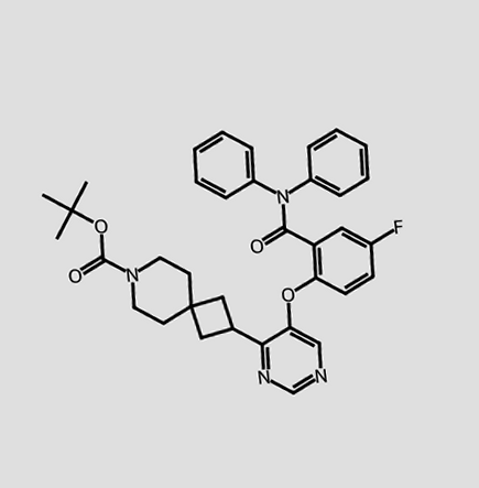 CC(C)(C)OC(=O)N1CCC2(CC1)CC(c1ncncc1Oc1ccc(F)cc1C(=O)N(c1ccccc1)c1ccccc1)C2